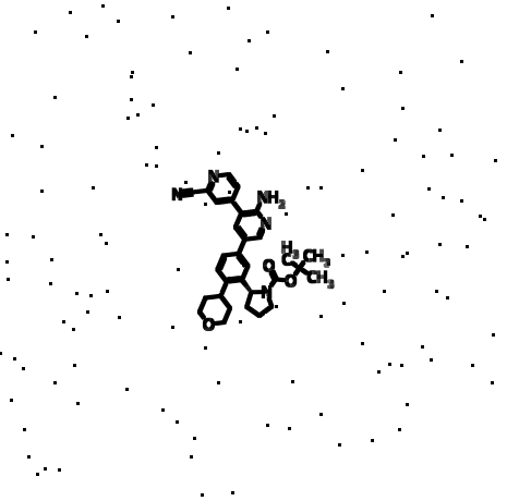 CC(C)(C)OC(=O)N1CCC[C@H]1c1cc(-c2cnc(N)c(-c3ccnc(C#N)c3)c2)ccc1C1CCOCC1